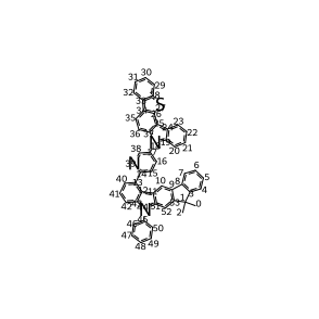 CC1(C)c2ccccc2-c2cc3c4c(-c5ccc(-n6c7ccccc7c7c8sc9ccccc9c8ccc76)cn5)cccc4n(-c4ccccc4)c3cc21